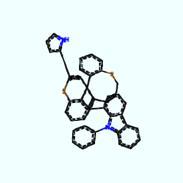 C=C1/C=C\CSc2ccccc2C12c1ccc(-c3ccc[nH]3)cc1Sc1cccc(-c3cccc4c5ccccc5n(-c5ccccc5)c34)c12